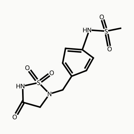 CS(=O)(=O)Nc1ccc(CN2CC(=O)NS2(=O)=O)cc1